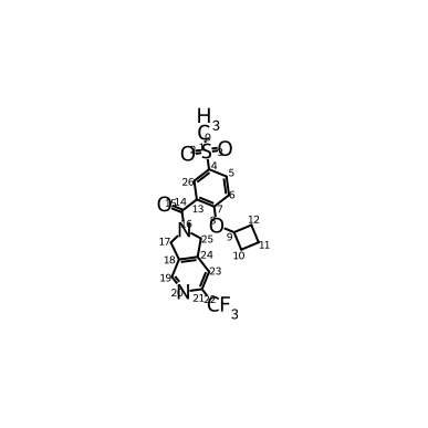 CS(=O)(=O)c1ccc(OC2CCC2)c(C(=O)N2Cc3cnc(C(F)(F)F)cc3C2)c1